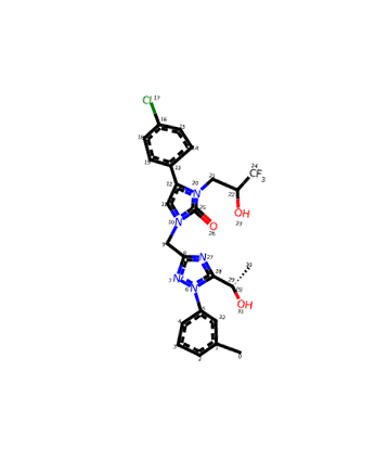 Cc1cccc(-n2nc(Cn3cc(-c4ccc(Cl)cc4)n(CC(O)C(F)(F)F)c3=O)nc2[C@H](C)O)c1